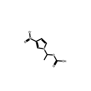 CC(OC(=O)O)n1ccc([N+](=O)[O-])c1